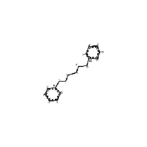 [c]1ccccc1CCCCCCc1ccccc1